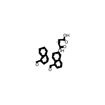 O=C(O)/C=C\C(=O)O.O=Cc1cccc2ccccc12.O=Cc1cccc2ccccc12